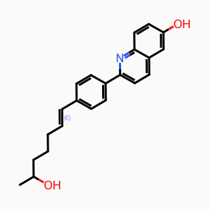 CC(O)CCC/C=C/c1ccc(-c2ccc3cc(O)ccc3n2)cc1